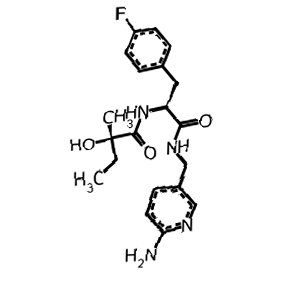 CC[C@](C)(O)C(=O)N[C@@H](Cc1ccc(F)cc1)C(=O)NCc1ccc(N)nc1